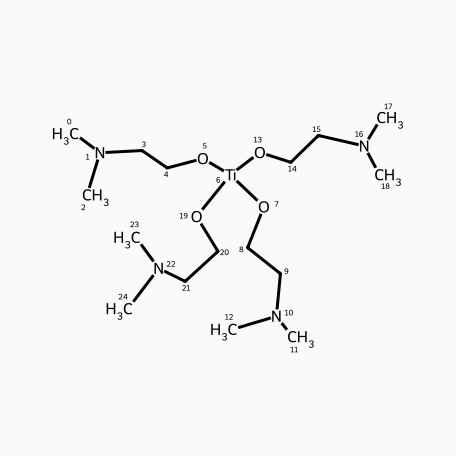 CN(C)CC[O][Ti]([O]CCN(C)C)([O]CCN(C)C)[O]CCN(C)C